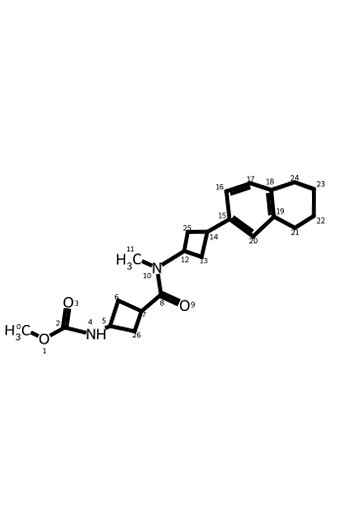 COC(=O)NC1CC(C(=O)N(C)C2CC(c3ccc4c(c3)CCCC4)C2)C1